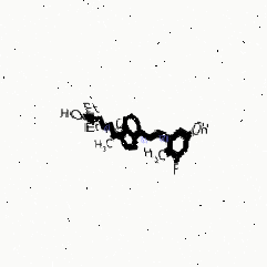 C=C1/C(=C\C=C2/CCCC3(C)C2CCC3C(C)/C=C/CC(O)(CC)CC)CC(O)CC1F